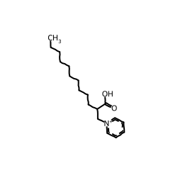 CCCCCCCCCCC(C[n+]1ccccc1)C(=O)O